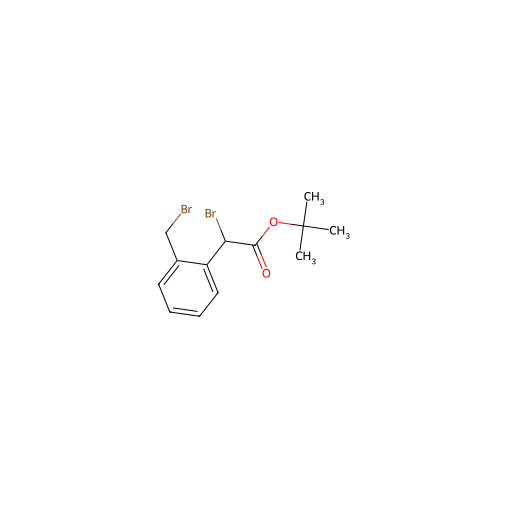 CC(C)(C)OC(=O)C(Br)c1ccccc1CBr